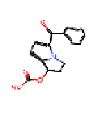 O=C(O)OC1CCn2c(C(=O)c3ccccc3)ccc21